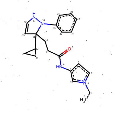 CCn1ccc(NC(=O)CCC2(C3CC3)C=CNN2c2ccccc2)c1